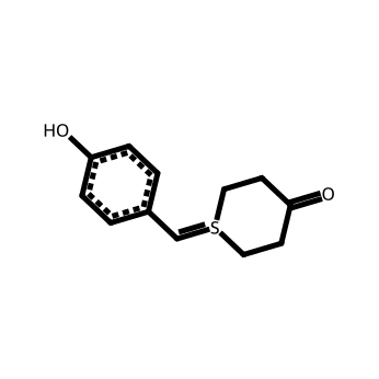 O=C1CCS(=Cc2ccc(O)cc2)CC1